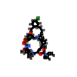 CCN1C/C=C/[C@H](OC(=O)N(C)C)[C@@H]2CC[C@H]2CN2CCCCc3cc(Cl)ccc3COc3ccc(cc32)S(=O)(=O)NC(=O)C1(C)C